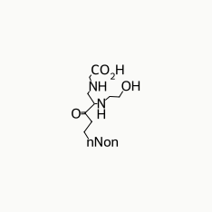 CCCCCCCCCCCC(=O)C(CNCC(=O)O)NCCO